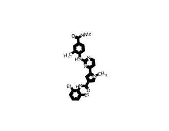 CCc1cccc(CC)c1NC(=O)c1cc(-c2ccnc(Nc3ccc(C(=O)NC)cc3C)n2)n(C)c1